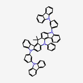 CC1(C)c2ccc3c(c2N(c2ccccc2)c2ccc4c(c21)c1ccccc1n4-c1cccc(-n2c4ccccc4c4ccccc42)c1)c1ccccc1n3-c1cccc(-n2c3ccccc3c3ccccc32)c1